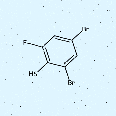 Fc1cc(Br)cc(Br)c1S